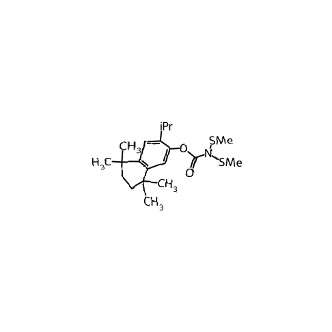 CSN(SC)C(=O)Oc1cc2c(cc1C(C)C)C(C)(C)CCC2(C)C